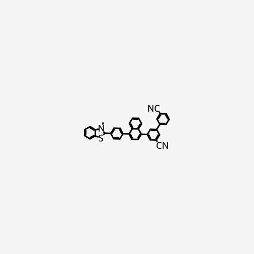 CN1c2ccccc2SC1c1ccc(-c2ccc(-c3cc(C#N)cc(-c4cccc(C#N)c4)c3)c3ccccc23)cc1